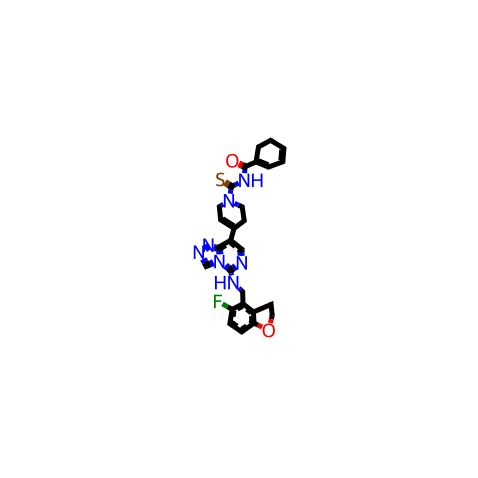 O=C(NC(=S)N1CC=C(c2cnc(NCc3c(F)ccc4c3CCO4)n3cnnc23)CC1)C1=CC=CCC1